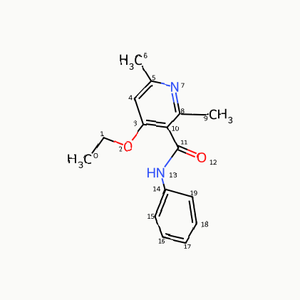 CCOc1cc(C)nc(C)c1C(=O)Nc1ccccc1